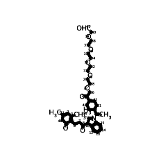 CC1=CC(C)=C(CCC(=O)C2c3ccccc3N(C(C)C3CCC(C(=O)COCCOCCOCCOCCOCC=O)CC3)C2C)C(=O)C1